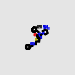 N#Cc1ccccc1Cn1c(N2CCC[C@@H](N)C2)nc2cc(CNCc3ccccc3)sc2c1=O